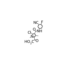 Cc1c(C(=O)Nc2ccc(F)c(C#N)c2)c(Cl)n(C)c1C(=O)C(=O)O